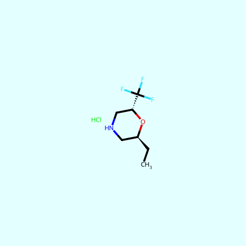 CC[C@H]1CNC[C@H](C(F)(F)F)O1.Cl